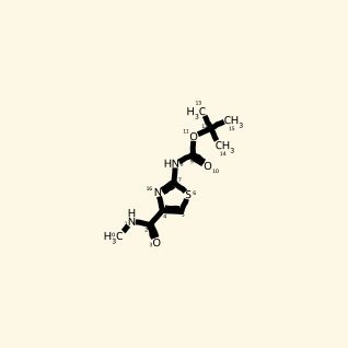 CNC(=O)c1csc(NC(=O)OC(C)(C)C)n1